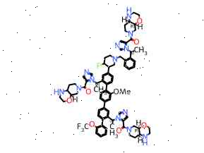 COc1cc(-c2ccc(-c3ccccc3OC(F)(F)F)c([C@H](C)n3cncc3C(=O)N3CC[C@H]4NCCO[C@@H]4C3)c2)ccc1-c1ccc(C2CN(Cc3ccccc3[C@H](C)n3cncc3C(=O)N3CC[C@H]4NCCO[C@@H]4C3)CCC2F)cc1[C@H](C)n1cncc1C(=O)N1CCC2NCCO[C@@H]2C1